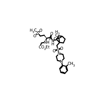 CCOC(=O)CN[C@@H](CCS(C)(=O)=O)C(=O)NC1CC2CCC1(CS(=O)(=O)N1CCN(c3ccccc3C)CC1)C2(C)C